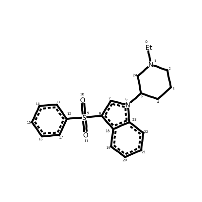 CCN1CCCC(n2cc(S(=O)(=O)c3ccccc3)c3ccccc32)C1